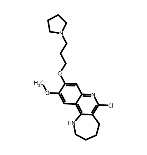 COc1cc2c3c(c(Cl)nc2cc1OCCCN1CCCC1)CCCCN3